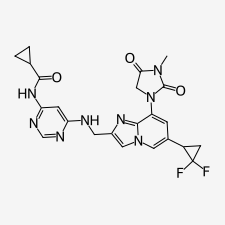 CN1C(=O)CN(c2cc(C3CC3(F)F)cn3cc(CNc4cc(NC(=O)C5CC5)ncn4)nc23)C1=O